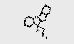 C#CCC(O)(c1ccncc1)c1cc2ccccc2[nH]1